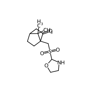 CC1(C)C2CCC1(CS(=O)(=O)C1NCCO1)C(=O)C2